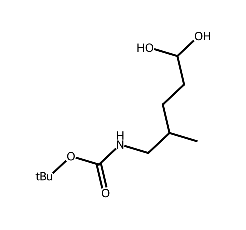 CC(CCC(O)O)CNC(=O)OC(C)(C)C